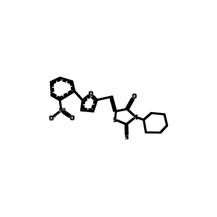 O=C1C(=Cc2ccc(-c3ccccc3[N+](=O)[O-])o2)SC(=S)N1C1CCCCC1